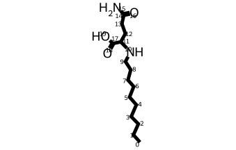 CCCCCCCCCCNC(CCC(N)=O)C(=O)O